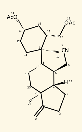 C=C1CC[C@H]2[C@H](CC#N)[C@@H]([C@@]3(C)CC[C@H](OC(C)=O)C[C@@H]3COC(C)=O)CC[C@]12C